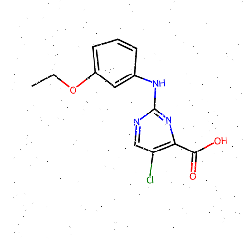 CCOc1cccc(Nc2ncc(Cl)c(C(=O)O)n2)c1